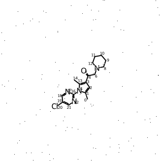 Cc1cc(C(=O)CN2CCCCC2)c(C)n1-c1ncc(Cl)cn1